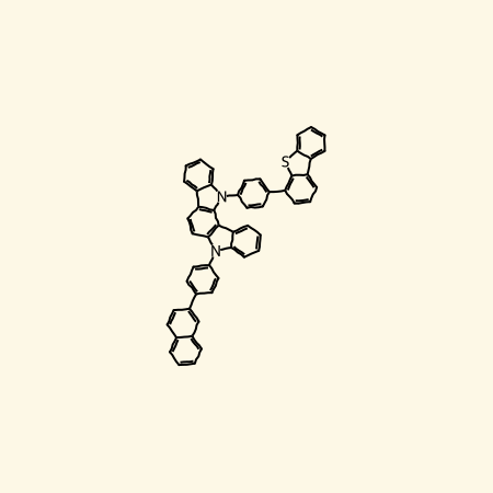 c1ccc2cc(-c3ccc(-n4c5ccccc5c5c4ccc4c6ccccc6n(-c6ccc(-c7cccc8c7sc7ccccc78)cc6)c45)cc3)ccc2c1